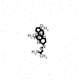 C=C1C[C@H]2CC(=NOCC(C)N)CC[C@]2(C)[C@@H]2CC[C@]3(C)C(=O)CC[C@H]3[C@H]12